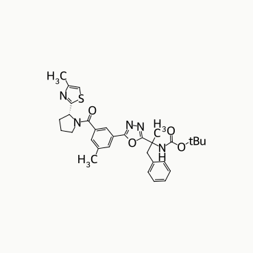 Cc1cc(C(=O)N2CCC[C@@H]2c2nc(C)cs2)cc(-c2nnc(C(C)(Cc3ccccc3)NC(=O)OC(C)(C)C)o2)c1